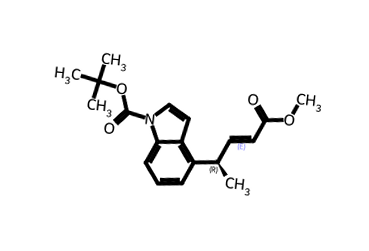 COC(=O)/C=C/[C@@H](C)c1cccc2c1ccn2C(=O)OC(C)(C)C